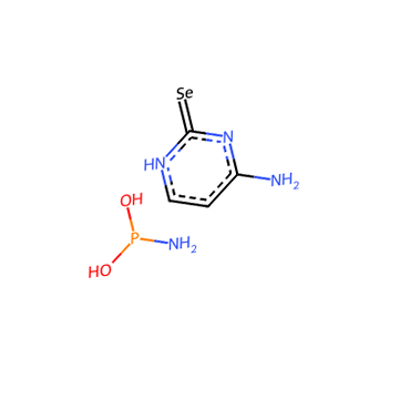 NP(O)O.Nc1cc[nH]c(=[Se])n1